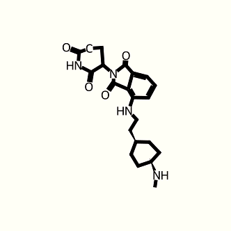 CN[C@H]1CC[C@@H](CCNc2cccc3c2C(=O)N(C2CCC(=O)NC2=O)C3=O)CC1